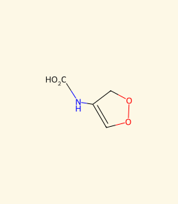 O=C(O)NC1=COOC1